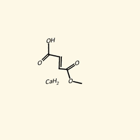 COC(=O)C=CC(=O)O.[CaH2]